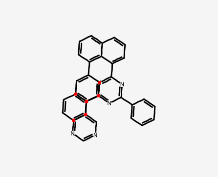 c1ccc(-c2nc(-c3ccccc3)nc(-c3cccc4cccc(-c5ccc(-c6cncnc6)cc5)c34)n2)cc1